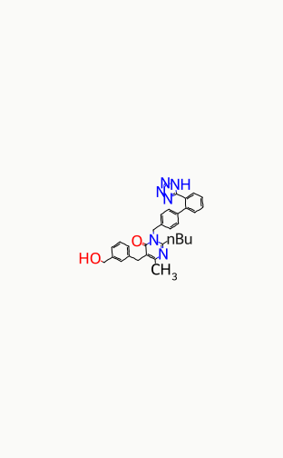 CCCCc1nc(C)c(Cc2cccc(CO)c2)c(=O)n1Cc1ccc(-c2ccccc2-c2nnn[nH]2)cc1